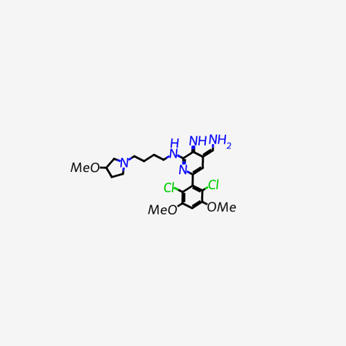 COc1cc(OC)c(Cl)c(C2=C/C(=C/N)C(=N)C(NCCCCN3CCC(OC)C3)=N2)c1Cl